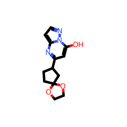 Oc1cc(C2CCC3(C2)OCCO3)nc2ccnn12